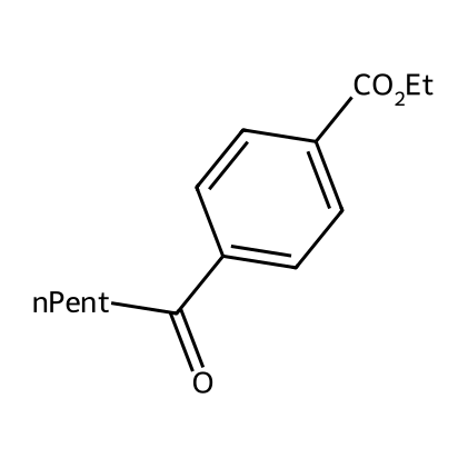 CCCCCC(=O)c1ccc(C(=O)OCC)cc1